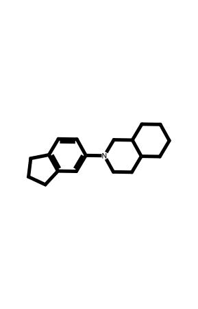 c1cc2c(cc1N1CCC3CCCCC3C1)CCC2